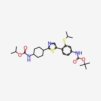 CC(C)OC(=O)NC1CCC(c2ncc(-c3ccc(NC(=O)OC(C)(C)C)cc3SC(C)C)s2)CC1